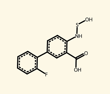 O=C(O)c1cc(-c2ccccc2F)ccc1NSO